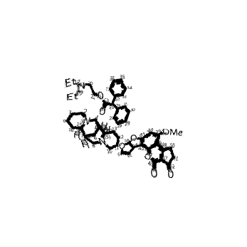 C1CCN2C[C@@H]3C[C@@H](CN4CCCC[C@@H]34)[C@H]2C1.CCN(CC)CCOC(=O)C(c1ccccc1)c1ccccc1.COc1cc2c(c3oc(=O)c4c(c13)CCC4=O)C1C=COC1O2